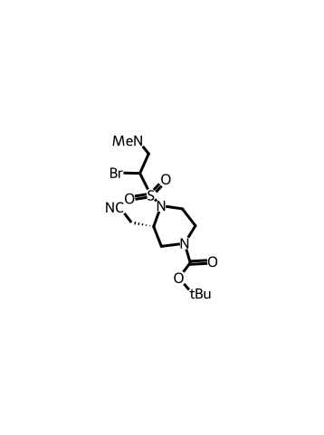 CNCC(Br)S(=O)(=O)N1CCN(C(=O)OC(C)(C)C)C[C@@H]1CC#N